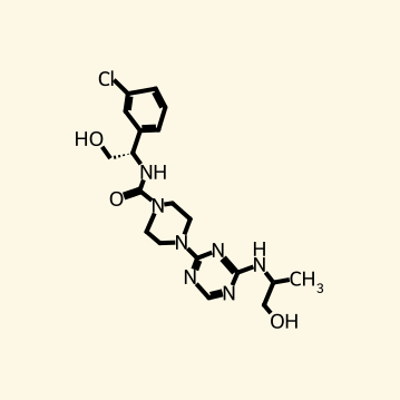 CC(CO)Nc1ncnc(N2CCN(C(=O)N[C@H](CO)c3cccc(Cl)c3)CC2)n1